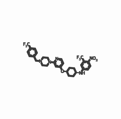 O=[N+]([O-])c1ccc(N[C@H]2CC[C@H](Oc3ccnc(N4CCN(Cc5ccc(C(F)(F)F)cc5)CC4)c3)CC2)cc1C(F)(F)F